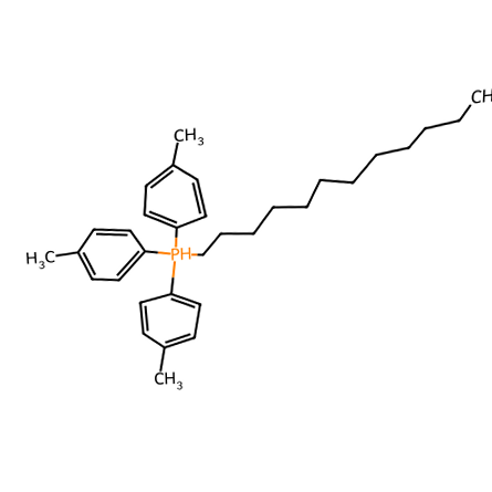 CCCCCCCCCCCC[PH](c1ccc(C)cc1)(c1ccc(C)cc1)c1ccc(C)cc1